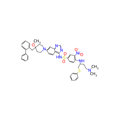 COC1(Cc2ccccc2-c2ccccc2)CCN(c2ccc3c(NS(=O)(=O)c4ccc(NC(CCN(C)C)CSc5ccccc5)c([N+](=O)[O-])c4)ncnc3c2)CC1